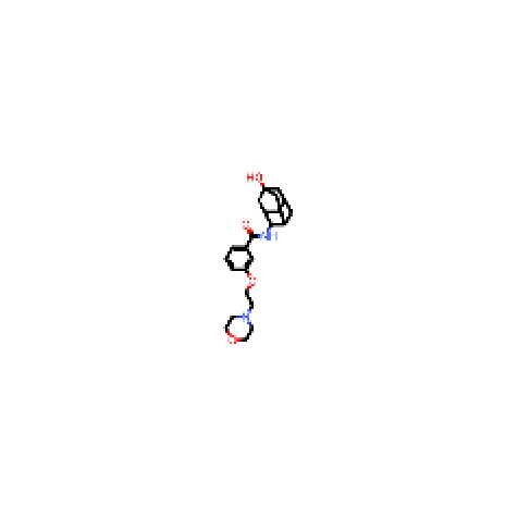 O=C(NC1C2CC3CC1CC(O)(C3)C2)c1cccc(OCCN2CCOCC2)c1